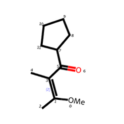 CO/C(C)=C(/C)C(=O)C1CCCC1